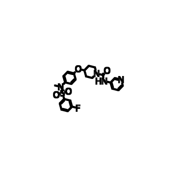 CN(c1ccc(OC2CCN(C(=O)Nc3cccnc3)CC2)cc1)S(=O)(=O)c1cccc(F)c1